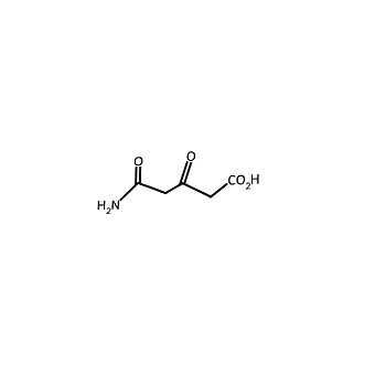 NC(=O)CC(=O)CC(=O)O